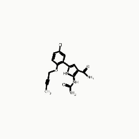 CC#CCOc1ccc(Cl)cc1-c1cc(C(N)=O)c(NC(N)=O)[nH]1